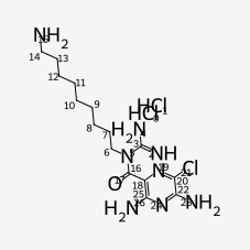 Cl.Cl.N=C(N)N(CCCCCCCCCN)C(=O)c1nc(Cl)c(N)nc1N